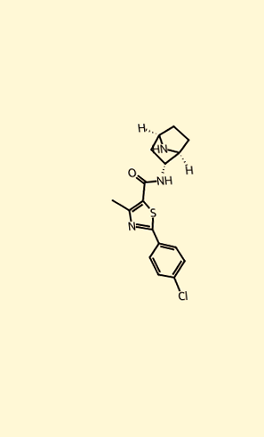 Cc1nc(-c2ccc(Cl)cc2)sc1C(=O)N[C@@H]1C[C@H]2CC[C@@H]1N2